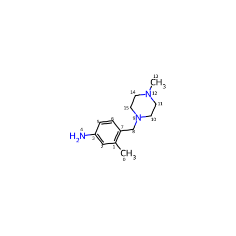 Cc1cc(N)ccc1CN1CCN(C)CC1